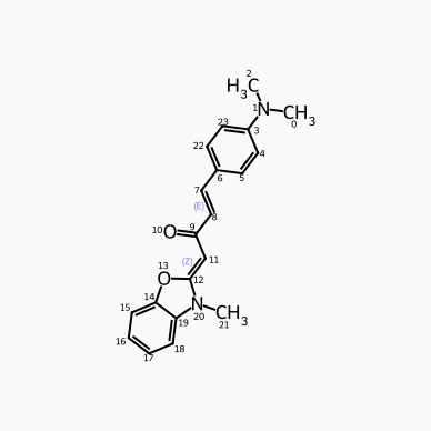 CN(C)c1ccc(/C=C/C(=O)/C=C2\Oc3ccccc3N2C)cc1